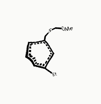 CCc1cccc(SOC)c1